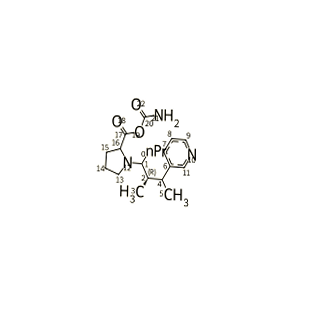 CCCC([C@H](C)C(C)c1cccnc1)N1CCCC1C(=O)OC(N)=O